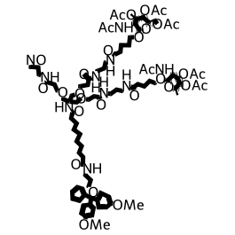 COc1ccc(C(OCCCNC(=O)CCCCCCCCC(=O)NC(COCCC(=O)NCCCN=O)(COCCC(=O)NCCCNC(=O)CCCCO[C@@H]2O[C@H](C)[C@H](OC(C)=O)[C@H](OC(C)=O)[C@H]2NC(C)=O)COCCC(=O)NCCCNC(=O)CCCCO[C@@H]2O[C@H](COC(C)=O)[C@H](OC(C)=O)[C@H](OC(C)=O)[C@H]2NC(C)=O)(c2ccccc2)c2ccc(OC)cc2)cc1